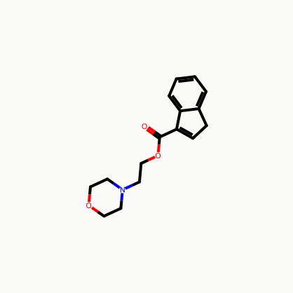 O=C(OCCN1CCOCC1)C1=CCc2ccccc21